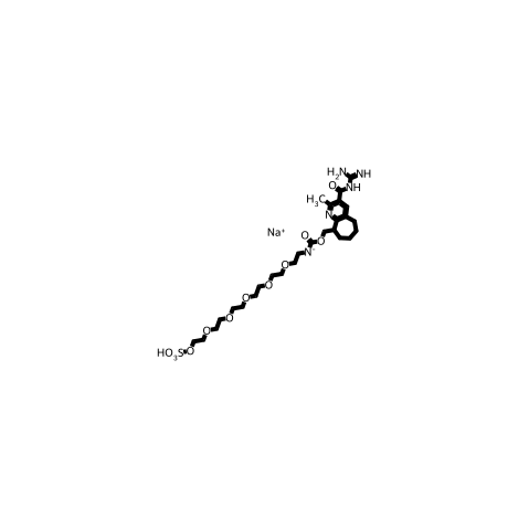 Cc1nc2c(cc1C(=O)NC(=N)N)CCCCC2COC(=O)[N-]CCOCCOCCOCCOCCOCCOS(=O)(=O)O.[Na+]